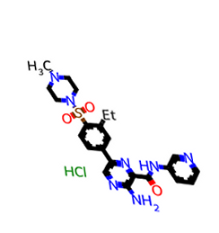 CCc1cc(-c2cnc(N)c(C(=O)Nc3cccnc3)n2)ccc1S(=O)(=O)N1CCN(C)CC1.Cl